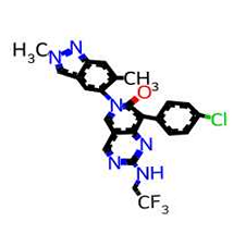 Cc1cc2nn(C)cc2cc1-n1cc2cnc(NCC(F)(F)F)nc2c(-c2ccc(Cl)cc2)c1=O